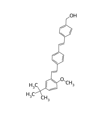 COc1ccc(C(C)(C)C)cc1/C=C/c1ccc(/C=C/c2ccc(CO)cc2)cc1